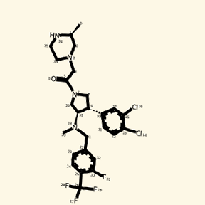 C[C@H]1CN(CC(=O)N2C[C@H](c3ccc(Cl)c(Cl)c3)[C@@H](N(C)Cc3ccc(C(F)(F)F)c(F)c3)C2)CCN1